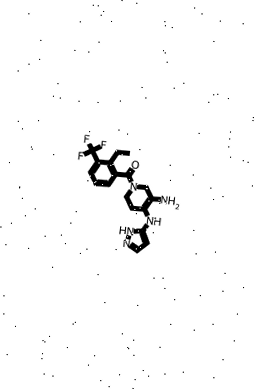 CCc1c(C(=O)N2CCC(Nc3ccn[nH]3)=C(N)C2)cccc1C(F)(F)F